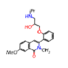 COc1ccc2cc(-c3ccccc3OCC(O)CNC(C)C)n(C)c(=O)c2c1